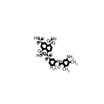 Cc1cc(C)c(C(=O)Nc2cc(S(=O)(=O)Nc3ccc(S(=O)(=O)O)c4cc(S(=O)(=O)O)cc(S(=O)(=O)O)c34)ccc2C)cc1N